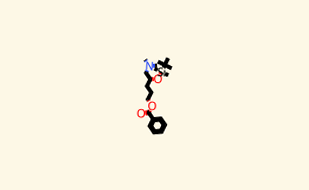 CN(C)CC(CCCOC(=O)c1ccccc1)O[Si](C)(C)C(C)(C)C